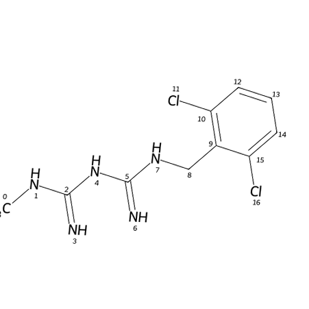 CNC(=N)NC(=N)NCc1c(Cl)cccc1Cl